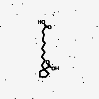 O=C(O)CCCCCCCCCC1(C(=O)O)CCCC1